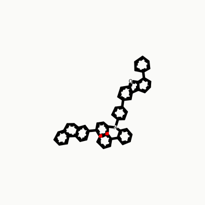 c1ccc(-c2ccccc2N(c2ccc(-c3ccc4c(ccc5ccccc54)c3)cc2)c2ccc(-c3ccc4oc5c(-c6ccccc6)cccc5c4c3)cc2)cc1